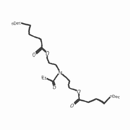 CCCCCCCCCCCCCC(=O)OCCN(CCOC(=O)CCCCCCCCCCCCC)C(=O)CC